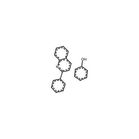 Oc1ccccc1.c1ccc(-c2ccc3ccccc3n2)cc1